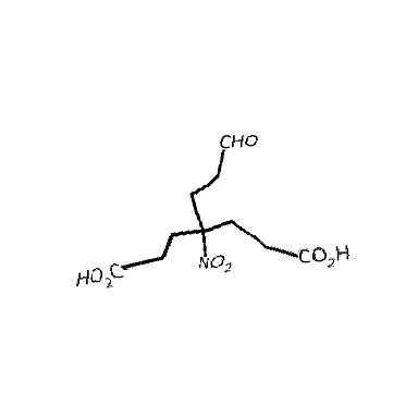 O=CCCC(CCC(=O)O)(CCC(=O)O)[N+](=O)[O-]